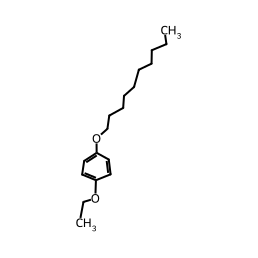 CCCCCCCCCCOc1ccc(OCC)cc1